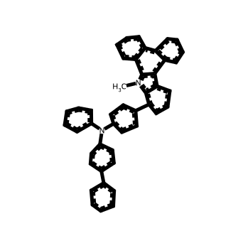 Cn1c2c(-c3ccc(N(c4ccccc4)c4ccc(-c5ccccc5)cc4)cc3)cccc2c2c3ccccc3c3ccccc3c21